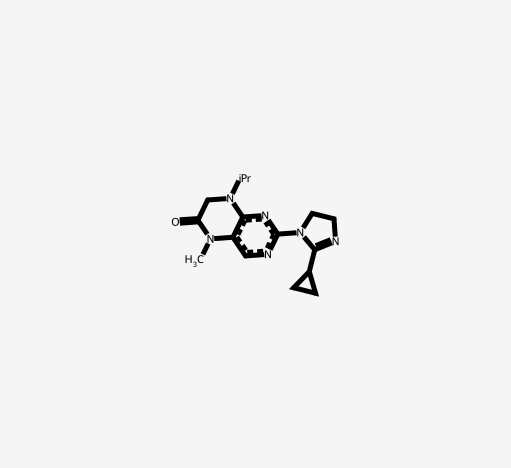 CC(C)N1CC(=O)N(C)c2cnc(N3CCN=C3C3CC3)nc21